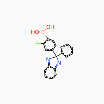 OB(O)c1ccc(C2(c3ccccc3)N=c3ccccc3=N2)cc1F